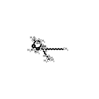 CCCCCCCCCCCCCC(=O)N[C@@H](CCCCNC(=O)OC(C)(C)C)C(=O)N(C)[C@@H]1C(=O)N[C@@H](C)C(=O)N[C@H](C(=O)OC)Cc2ccc(OC)c(c2)-c2cc1ccc2OC